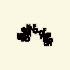 COC(=O)N[C@@H](C(=O)N1CCC[C@H]1c1ncc(-c2ccc(-c3ccc(-c4cnc([C@@H]5CCCN5C(=O)O)[nH]4)c(F)c3)cc2F)[nH]1)c1ccccc1